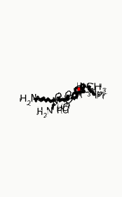 CC(C)CCCC(C)[C@H]1CC[C@H]2[C@@H]3CC=C4C[C@@H](OC(=O)CCCC(=O)N(CCCN)CCCCCCCCN)CC[C@]4(C)[C@H]3CC[C@]12C.Cl.Cl